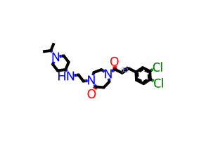 CC(C)N1CCC(NCCN2CCN(C(=O)/C=C/c3ccc(Cl)c(Cl)c3)CCC2=O)CC1